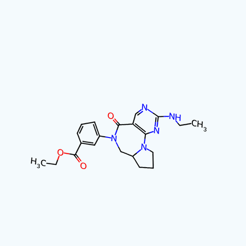 CCNc1ncc2c(n1)N1CCCC1CN(c1cccc(C(=O)OCC)c1)C2=O